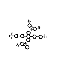 C[Si](C)(C)c1ccc2c(c1)c1ccccc1n2-c1ccc2c(-c3ccc(-c4ccc(C(F)(F)F)cc4)cc3)c3cc(-n4c5ccc([Si](C)(C)C)cc5c5cc([Si](C)(C)C)ccc54)ccc3c(-c3ccc(-c4ccc(C(F)(F)F)cc4)cc3)c2c1